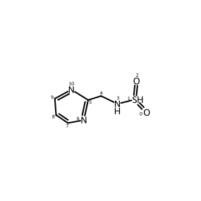 O=[SH](=O)NCc1ncccn1